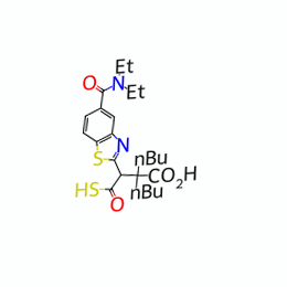 CCCCC(CCCC)(C(=O)O)C(C(=O)S)c1nc2cc(C(=O)N(CC)CC)ccc2s1